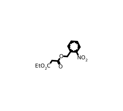 CCOC(=O)CC(=O)OCc1ccccc1[N+](=O)[O-]